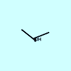 CCCCCCCCCCCCCCCCCCc1cc(CCCCCCCCCCCCCCCCCC)c(O)c(C(C)(C)C)c1